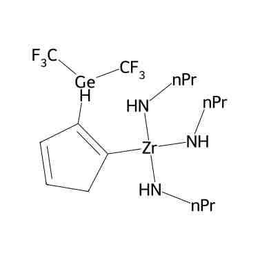 CCC[NH][Zr]([NH]CCC)([NH]CCC)[C]1=[C]([GeH]([C](F)(F)F)[C](F)(F)F)C=CC1